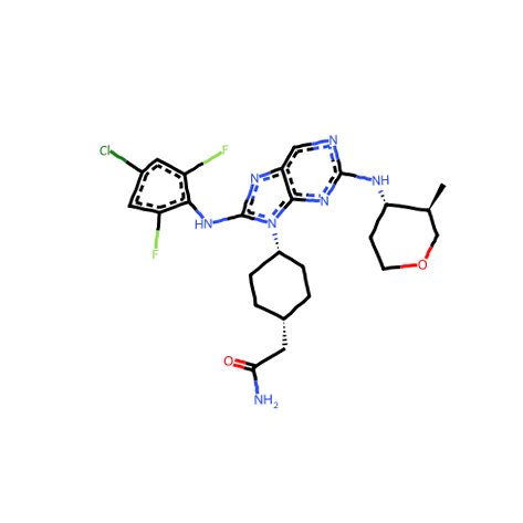 C[C@H]1COCC[C@@H]1Nc1ncc2nc(Nc3c(F)cc(Cl)cc3F)n([C@H]3CC[C@@H](CC(N)=O)CC3)c2n1